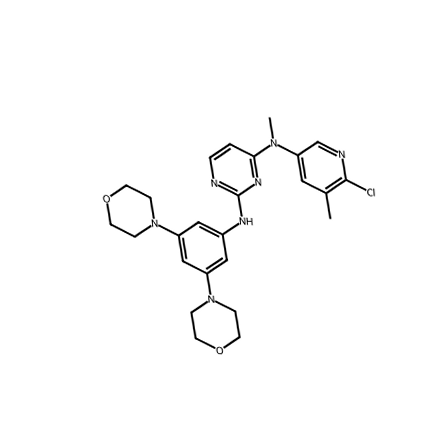 Cc1cc(N(C)c2ccnc(Nc3cc(N4CCOCC4)cc(N4CCOCC4)c3)n2)cnc1Cl